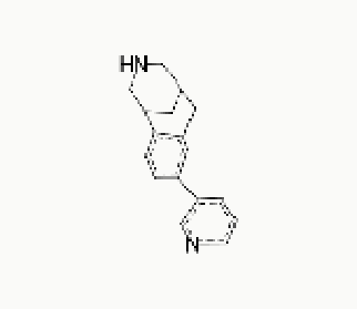 c1cncc(-c2ccc3c(c2)CC2CNCC3C2)c1